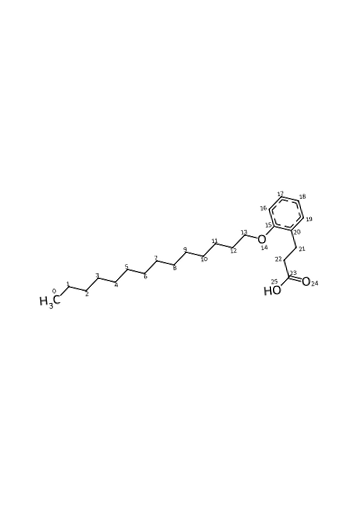 CCCCCCCCCCCCCCOc1ccccc1CCC(=O)O